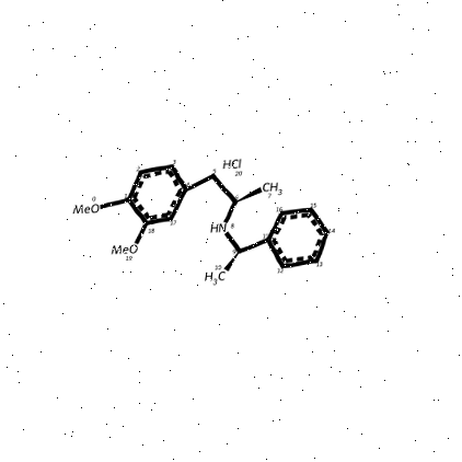 COc1ccc(C[C@@H](C)N[C@H](C)c2ccccc2)cc1OC.Cl